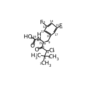 CC(C)(C)C(Cl)C(=O)[C@H](Cc1cc(F)cc(F)c1)NC(=O)O